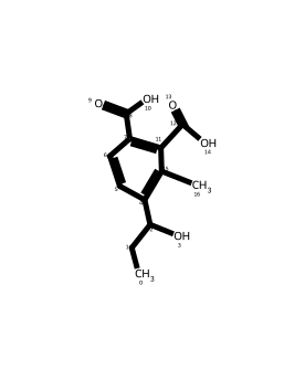 CCC(O)c1ccc(C(=O)O)c(C(=O)O)c1C